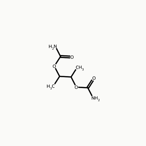 CC(OC(N)=O)C(C)OC(N)=O